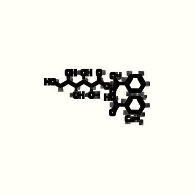 O=C(O)[C@H](O)[C@@H](O)[C@H](O)[C@H](O)CO.O=C(O)c1ccccc1.O=C(O)c1ccccc1.[CaH2]